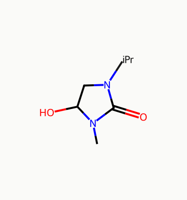 CC(C)N1CC(O)N(C)C1=O